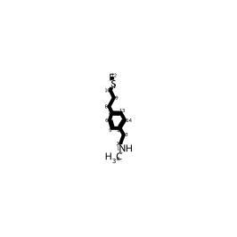 CNCCc1ccc(CCCSF)cc1